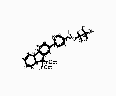 CCCCCCCCC1(CCCCCCCC)c2cc(-c3ccc(BOC(C)(C)C(C)(C)O)cn3)ccc2C2C=CC=CC21